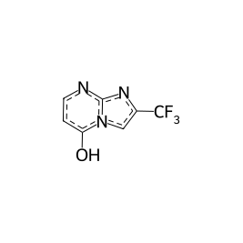 Oc1ccnc2nc(C(F)(F)F)cn12